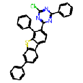 Clc1nc(-c2ccccc2)nc(-c2ccc3c(sc4cc(-c5ccccc5)ccc43)c2-c2ccccc2)n1